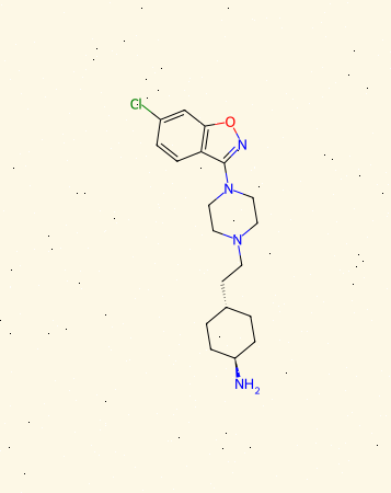 N[C@H]1CC[C@H](CCN2CCN(c3noc4cc(Cl)ccc34)CC2)CC1